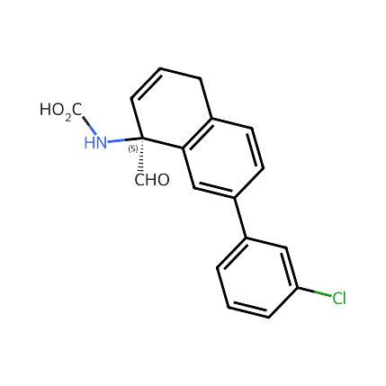 O=C[C@]1(NC(=O)O)C=CCc2ccc(-c3cccc(Cl)c3)cc21